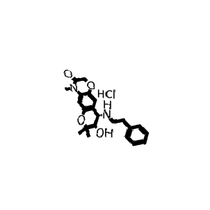 CN1C(=O)COc2cc3c(cc21)OC(C)(C)[C@H](O)[C@H]3NCCc1ccccc1.Cl